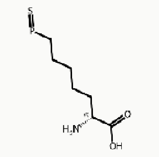 N[C@H](CCCCCP=S)C(=O)O